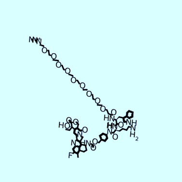 CC[C@@]1(O)C(=O)OCc2c1cc1n(c2=O)Cc2c-1nc1cc(F)c(C)c3c1c2[C@@H](NC(=O)OCc1ccc(NC(=O)[C@H](CCCCN)NC(=O)[C@H](Cc2c[nH]c4ccccc24)NC(=O)CCOCCOCCOCCOCCOCCOCCOCCOCCOCCN=[N+]=[N-])cc1)CC3